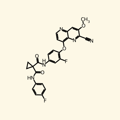 COc1cc2nccc(Oc3ccc(NC(=O)C4(C(=O)Nc5ccc(F)cc5)CC4)cc3F)c2nc1C#N